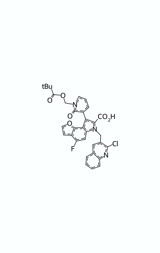 CC(C)(C)C(=O)OCn1cccc(-c2c(C(=O)O)n(Cc3cc4ccccc4nc3Cl)c3cc(F)c4ccoc4c23)c1=O